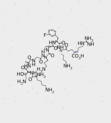 C[C@H](NC(=O)[C@@H](NC(=O)[C@@H](N)CCCCN)[C@@H](O)CN)C(=O)NCC(=O)N[C@H](CCCN)C(=O)N1CC[C@H]1C(=O)N[C@@H](Cc1cccc(F)c1)C(=O)N[C@@H](CCCCN)C(=O)CC/C(=C\CCNC(=N)N)C(=O)O